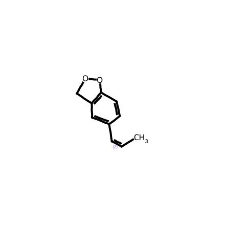 C/C=C\c1ccc2c(c1)COO2